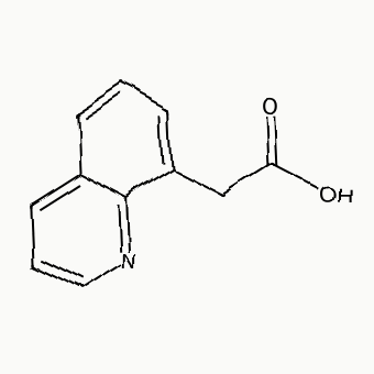 O=C(O)Cc1cccc2cccnc12